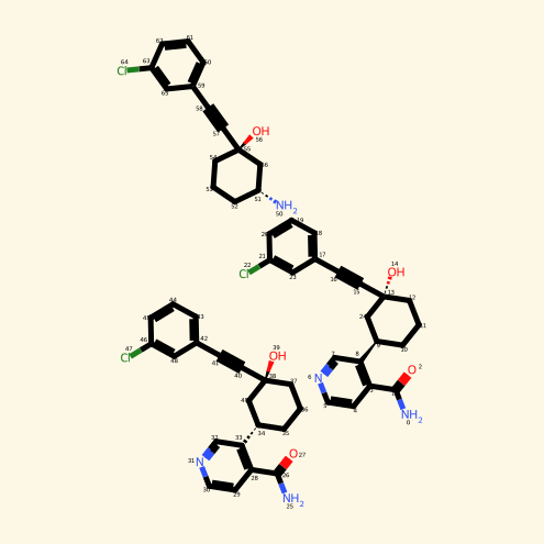 NC(=O)c1ccncc1[C@@H]1CCC[C@](O)(C#Cc2cccc(Cl)c2)C1.NC(=O)c1ccncc1[C@H]1CCC[C@@](O)(C#Cc2cccc(Cl)c2)C1.N[C@@H]1CCC[C@](O)(C#Cc2cccc(Cl)c2)C1